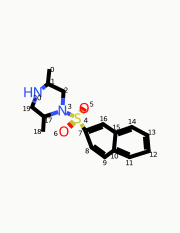 CC1CN(S(=O)(=O)c2ccc3ccccc3c2)C(C)CN1